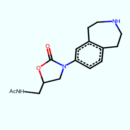 CC(=O)NCC1CN(c2ccc3c(c2)CCNCC3)C(=O)O1